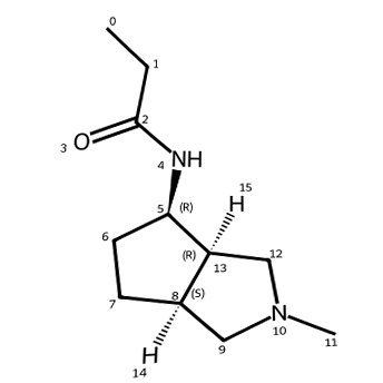 CCC(=O)N[C@@H]1CC[C@@H]2CN(C)C[C@@H]21